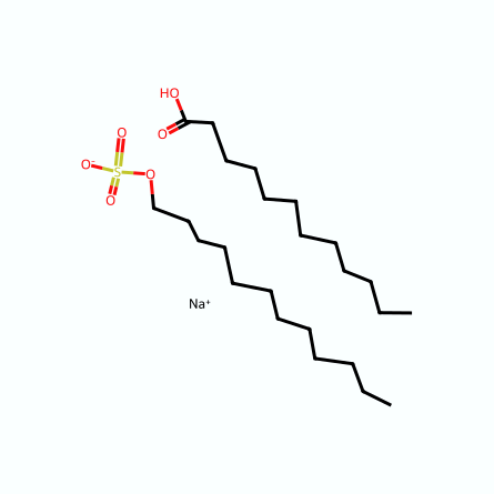 CCCCCCCCCCCC(=O)O.CCCCCCCCCCCCOS(=O)(=O)[O-].[Na+]